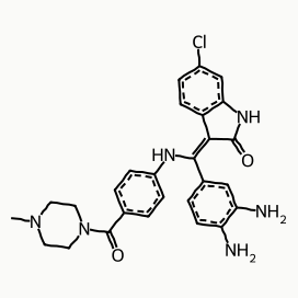 CN1CCN(C(=O)c2ccc(N/C(=C3/C(=O)Nc4cc(Cl)ccc43)c3ccc(N)c(N)c3)cc2)CC1